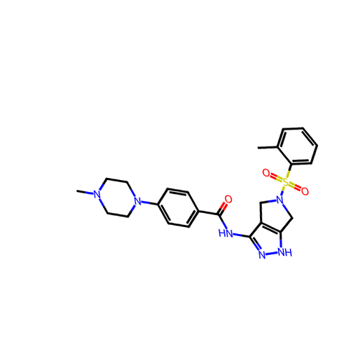 Cc1ccccc1S(=O)(=O)N1Cc2[nH]nc(NC(=O)c3ccc(N4CCN(C)CC4)cc3)c2C1